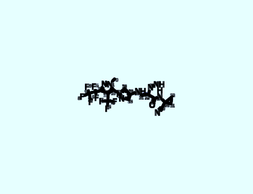 Cn1nc(C(F)(F)C(F)(F)F)c(C(F)(F)F)c1-n1cc(N/C=C(\N=N)C(=O)NC2(C#N)CC2)cn1